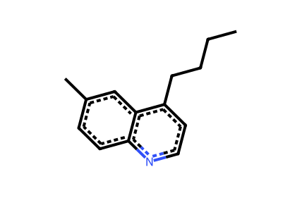 CCCCc1ccnc2ccc(C)cc12